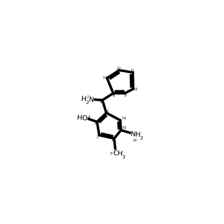 Cc1cc(O)c(C(N)c2ccccc2)cc1N